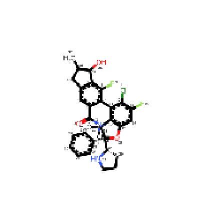 CNC(=O)c1cc2c(c(F)c1-c1c(Cl)c(F)cc3c1[C@H](C)[C@](c1ccccc1)([C@@H]1CCCN1)O3)C(O)C(C)C2